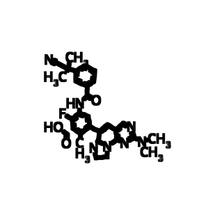 Cc1cc(F)c(NC(=O)c2cccc(C(C)(C)C#N)c2)cc1C1=Cc2cnc(N(C)C)nc2N2CCN=C12.O=CO